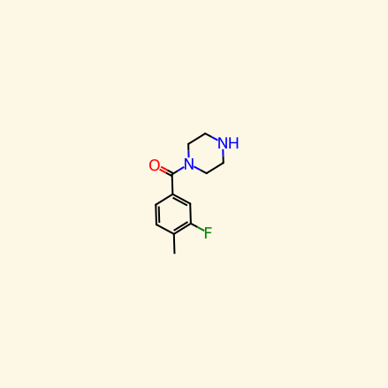 Cc1ccc(C(=O)N2CCNCC2)cc1F